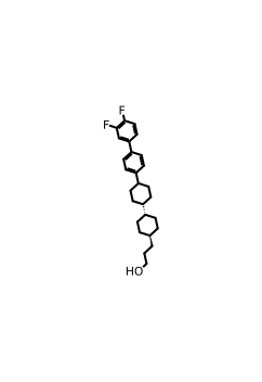 OCCC[C@H]1CC[C@H](C2CCC(c3ccc(-c4ccc(F)c(F)c4)cc3)CC2)CC1